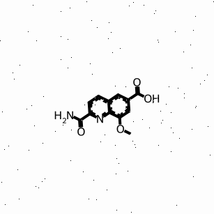 COc1cc(C(=O)O)cc2ccc(C(N)=O)nc12